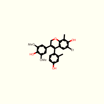 CCc1cc2c(c(C)c1O)OCC(c1cc(OC)c(O)c(OC)c1)=C2c1ccc(O)cc1C